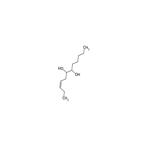 CC/C=C\CC(O)C(O)CCCCC